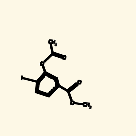 COC(=O)c1ccc(I)c(OC(C)=O)c1